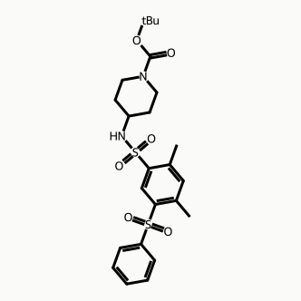 Cc1cc(C)c(S(=O)(=O)c2ccccc2)cc1S(=O)(=O)NC1CCN(C(=O)OC(C)(C)C)CC1